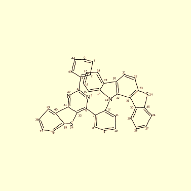 c1ccc(-c2nc(-c3ccccc3-n3c4ccccc4c4ccc5sc6ccccc6c5c43)c3sc4ccccc4c3n2)cc1